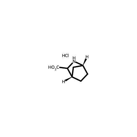 Cl.O=C(O)C1N[C@@H]2CC[C@H]1C2